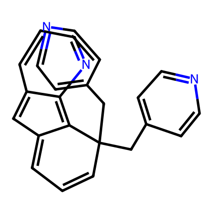 C1=CC(Cc2ccncc2)(Cc2ccncc2)C2=c3ncccc3=CC2=C1